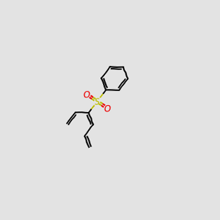 C=C/C=C(\C=C)S(=O)(=O)c1ccccc1